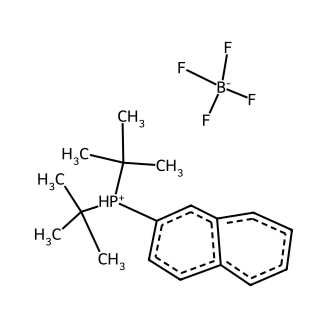 CC(C)(C)[PH+](c1ccc2ccccc2c1)C(C)(C)C.F[B-](F)(F)F